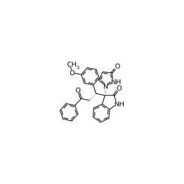 COc1cccc([C@@H](CC(=O)c2ccccc2)[C@@]2(n3ccc(=O)[nH]3)C(=O)Nc3ccccc32)c1